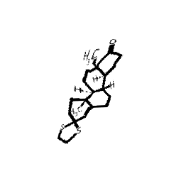 C[C@]12CCC3(C=C1CC[C@@H]1[C@@H]2CC[C@]2(C)C(=O)CC[C@@H]12)SCCS3